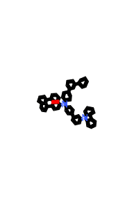 c1ccc(-c2cccc(-c3ccc(N(c4ccc(-c5cccc(-n6c7ccccc7c7ccccc76)c5)cc4)c4ccc(-c5cccc6cccc(-c7ccccc7)c56)cc4)cc3)c2)cc1